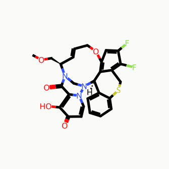 COC[C@H]1/C=C/COc2cc(F)c(F)c3c2[C@@H](c2ccccc2SC3)N2CN1C(=O)c1c(O)c(=O)ccn12